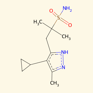 Cc1n[nH]c(CC(C)(C)S(N)(=O)=O)c1C1CC1